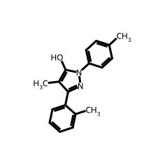 Cc1ccc(-n2nc(-c3ccccc3C)c(C)c2O)cc1